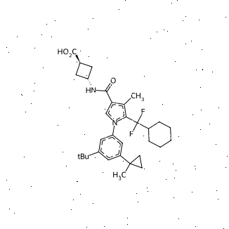 Cc1c(C(=O)N[C@H]2C[C@H](C(=O)O)C2)cn(-c2cc(C(C)(C)C)cc(C3(C)CC3)c2)c1C(F)(F)C1CCCCC1